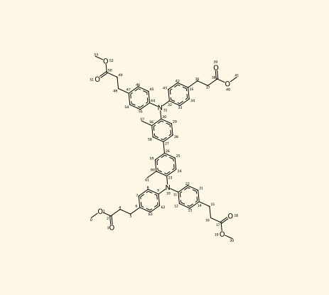 COC(=O)CCc1ccc(N(c2ccc(CCC(=O)OC)cc2)c2ccc(-c3ccc(N(c4ccc(CCC(=O)OC)cc4)c4ccc(CCC(=O)OC)cc4)c(C)c3)cc2C)cc1